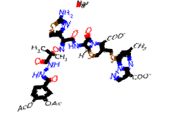 CC(=O)Oc1ccc(C(=O)NNC(=O)C(C)(C)ON=C(C(=O)NC2C(=O)N3C(C(=O)[O-])=C(CSc4cc(C)nc5c(C(=O)[O-])cnn45)CS[C@@H]23)c2csc(N)n2)cc1OC(C)=O.[Na+].[Na+]